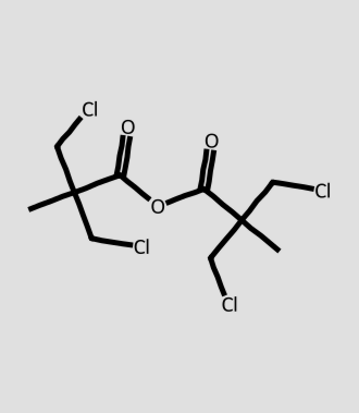 CC(CCl)(CCl)C(=O)OC(=O)C(C)(CCl)CCl